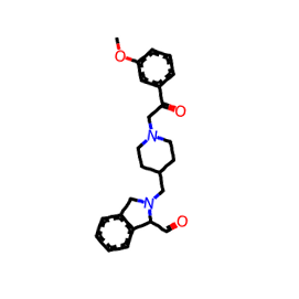 COc1cccc(C(=O)CN2CCC(CN3Cc4ccccc4C3C=O)CC2)c1